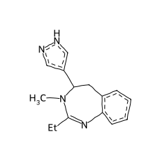 CCC1=Nc2ccccc2CC(c2cn[nH]c2)N1C